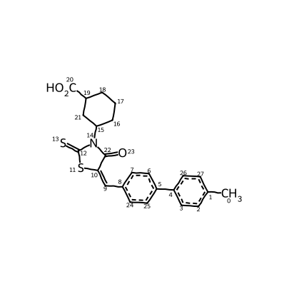 Cc1ccc(-c2ccc(C=C3SC(=S)N(C4CCCC(C(=O)O)C4)C3=O)cc2)cc1